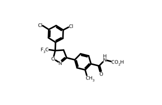 Cc1cc(C2=NOC(c3cc(Cl)cc(Cl)c3)(C(F)(F)F)C2)ccc1C(=O)NC(=O)O